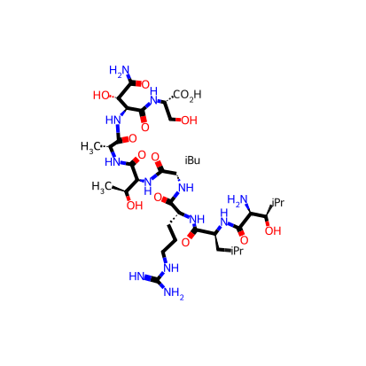 CC[C@H](C)[C@H](NC(=O)[C@@H](CCCNC(=N)N)NC(=O)[C@H](CC(C)C)NC(=O)[C@@H](N)[C@H](O)C(C)C)C(=O)N[C@H](C(=O)N[C@H](C)C(=O)N[C@H](C(=O)N[C@@H](CO)C(=O)O)[C@H](O)C(N)=O)[C@H](C)O